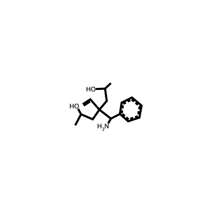 C=CC(CC(C)O)(CC(C)O)C(N)c1ccccc1